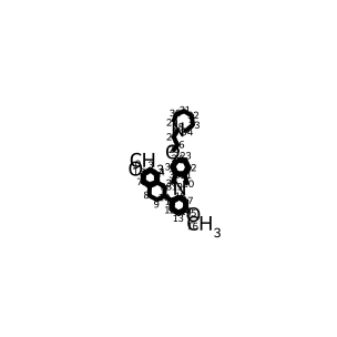 COc1ccc2c(c1)CCC(c1ccc(OC)cc1N1Cc3ccc(OCCN4CCCCCC4)cc3C1)C2